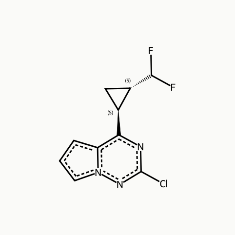 FC(F)[C@H]1C[C@@H]1c1nc(Cl)nn2cccc12